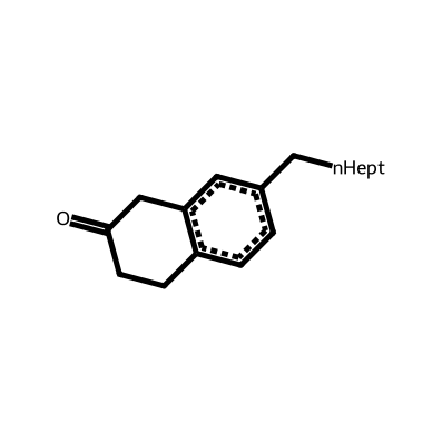 CCCCCCCCc1ccc2c(c1)CC(=O)CC2